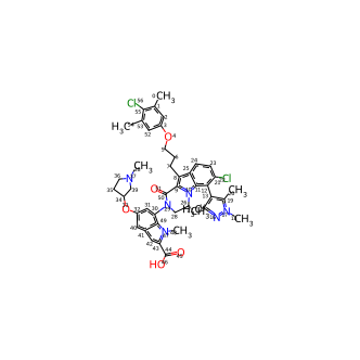 Cc1cc(OCCCc2c3n(c4c(-c5c(C)nn(C)c5C)c(Cl)ccc24)[C@H](C)CN(c2cc(OC4CCN(C)C4)cc4cc(C(=O)O)n(C)c24)C3=O)cc(C)c1Cl